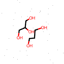 OCC(O)CO.OCCCO